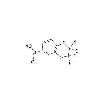 OB(O)c1ccc2c(c1)OC(F)(F)C(F)(F)O2